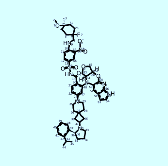 CO[C@]1(C)CC[C@@](F)(CNc2ccc(S(=O)(=O)NC(=O)c3ccc(N4CCC5(CC4)CC(N4CCC[C@H]4c4ccccc4C(C)C)C5)cc3N3c4cc5cc[nH]c5nc4O[C@@H]4COC[C@H]43)cc2[N+](=O)[O-])CC1